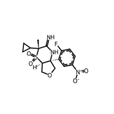 C[C@@]1(C2CC2)C(=N)N[C@@]2(c3cc([N+](=O)[O-])ccc3F)COC[C@H]2S1(=O)=O